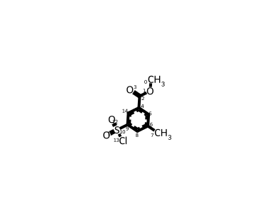 COC(=O)c1cc(C)cc(S(=O)(=O)Cl)c1